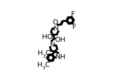 Cc1ccc2c(c1)NCC21CCN(CC(O)C2(O)CCN(C(=O)/C=C/c3cc(F)cc(F)c3)CC2)C[C@@H]1C